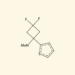 CNC1(c2cccs2)CC(F)(F)C1